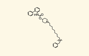 C[N+](C)(CCCCCCCCCN1CCC(OC(=O)Nc2ccccc2-c2ccccc2)CC1)Cc1ccccc1